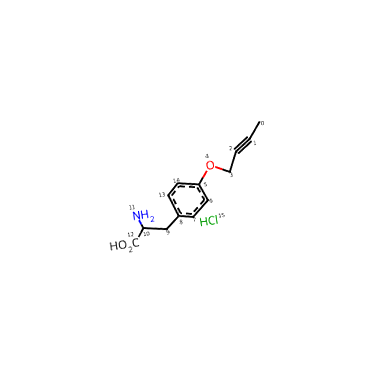 CC#CCOc1ccc(CC(N)C(=O)O)cc1.Cl